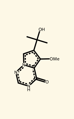 COc1c(C(C)(C)O)cn2nc[nH]c(=O)c12